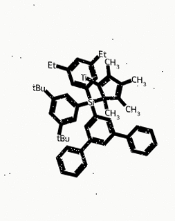 CCc1cc(CC)cc([Si](c2cc(-c3ccccc3)cc(-c3ccccc3)c2)(c2cc(C(C)(C)C)cc(C(C)(C)C)c2)C2(C)C(C)=C(C)C(C)=[C]2[Ti])c1